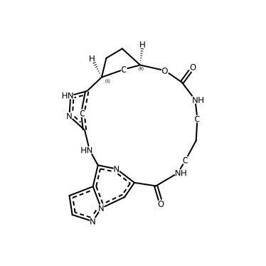 O=C1NCCCNC(=O)c2cn3nccc3c(n2)Nc2cc([nH]n2)[C@H]2CC[C@H](C2)O1